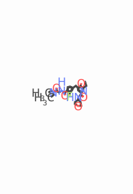 CCN(CC)C(=O)CNC(=O)c1ccc(Cc2cc(C(=O)NC3CCOCC3)nc3c2OCC3)cc1F